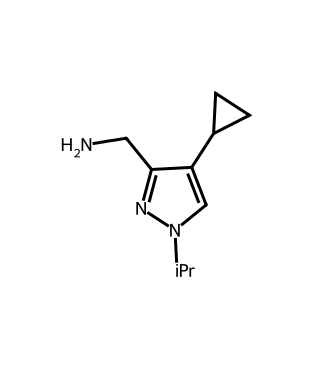 CC(C)n1cc(C2CC2)c(CN)n1